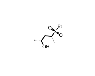 CCS(=O)(=O)[C@H](C)C[C@@H](C)O